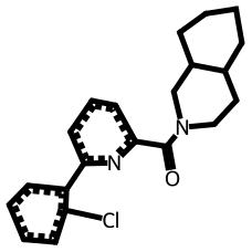 O=C(c1cccc(-c2ccccc2Cl)n1)N1CCC2CCCCC2C1